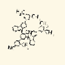 Cc1cc(C)cc(-c2ccc3c(c2)c2ccccc2n3-c2cc(-c3ccc(C#N)cc3C(F)(F)F)cc(-n3c4ccccc4c4cc(-c5cc(C)cc(C)c5)ccc43)c2C#N)c1